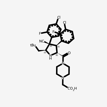 CC(C)(C)C[C@@H]1N[C@@H](C(=O)N2CCN(CC(=O)O)CC2)[C@H](c2cccc(Cl)c2F)[C@@]1(C#N)c1ccc(Cl)cc1F